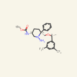 C[C@@H](OC[C@@]1(c2ccccc2)CC[C@@H](NC(=O)OC(C)(C)C)CN1N)c1cc(C(F)(F)F)cc(C(F)(F)F)c1